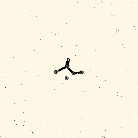 [K].[N]S[N+](=O)[O-]